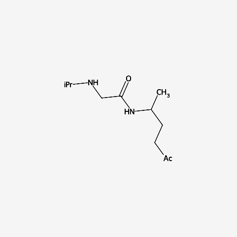 CC(=O)CCC(C)NC(=O)CNC(C)C